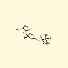 C=C(C)C(=O)OC(C)(CC)CCOC(C)(CC)P(=O)(O)O